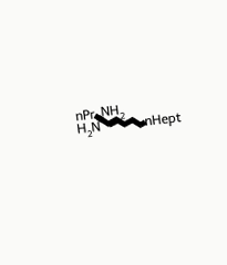 CCCCCCCCCCC=CC(N)(N)CCC